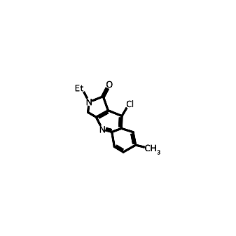 CCN1Cc2nc3ccc(C)cc3c(Cl)c2C1=O